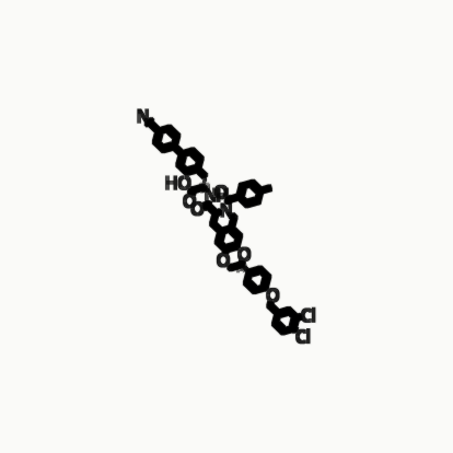 Cc1ccc(C(=O)N2Cc3cc4c(cc3CC2C(=O)N[C@@H](Cc2ccc(-c3ccc(C#N)cc3)cc2)C(=O)O)OC[C@H](c2ccc(OCc3ccc(Cl)c(Cl)c3)cc2)O4)cc1